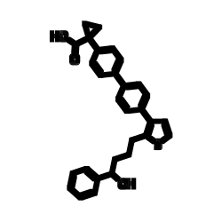 O=C(O)C1(c2ccc(-c3ccc(-c4ccsc4CCCC(O)c4ccccc4)cc3)cc2)CC1